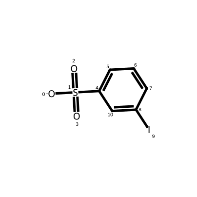 [O]S(=O)(=O)c1cccc(I)c1